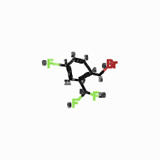 Fc1ccc(CBr)c(C(F)F)c1